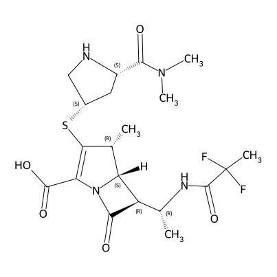 C[C@@H](NC(=O)C(C)(F)F)[C@H]1C(=O)N2C(C(=O)O)=C(S[C@@H]3CN[C@H](C(=O)N(C)C)C3)[C@H](C)[C@H]12